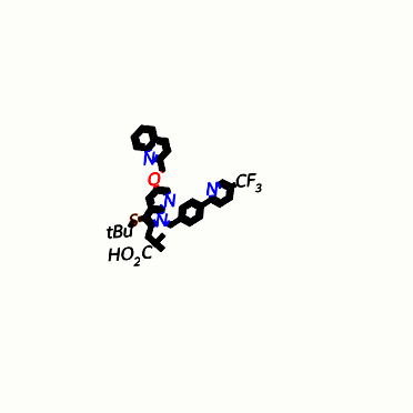 CC(C)(C)Sc1c(CC(C)(C)C(=O)O)n(Cc2ccc(-c3ccc(C(F)(F)F)cn3)cc2)c2ncc(OCc3ccc4ccccc4n3)cc12